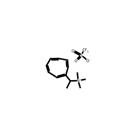 CC(C1=CC=CC=CC=C1)[N+](C)(C)C.O=S(=O)([O-])C(F)(F)F